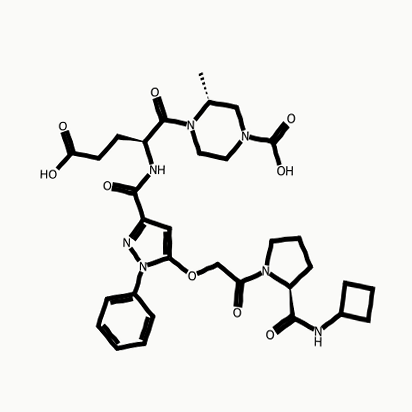 C[C@@H]1CN(C(=O)O)CCN1C(=O)[C@H](CCC(=O)O)NC(=O)c1cc(OCC(=O)N2CCC[C@H]2C(=O)NC2CCC2)n(-c2ccccc2)n1